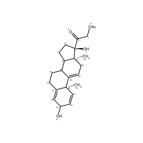 CC(=O)OCC(=O)[C@@]1(O)CCC2C3CCC4=CC(O)C=C[C@]4(C)C3=CC[C@@]21C